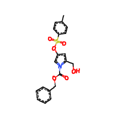 Cc1ccc(S(=O)(=O)Oc2cc(CO)n(C(=O)OCc3ccccc3)c2)cc1